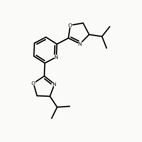 CC(C)C1COC(c2cccc(C3=NC(C(C)C)CO3)n2)=N1